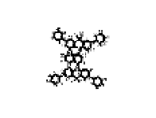 CC1(C)c2cc(-c3ccccc3)ccc2N(c2ccc(N3c4ccc(-c5ccccc5)cc4C(C)(C)c4cc(-c5ccccc5)ccc43)c3nccnc23)c2ccc(-c3ccccc3)cc21